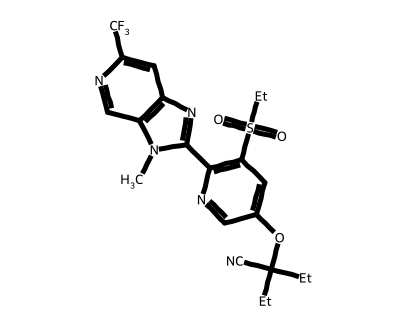 CCC(C#N)(CC)Oc1cnc(-c2nc3cc(C(F)(F)F)ncc3n2C)c(S(=O)(=O)CC)c1